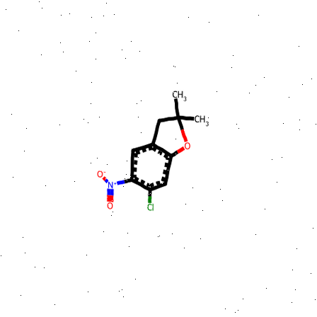 CC1(C)Cc2cc([N+](=O)[O-])c(Cl)cc2O1